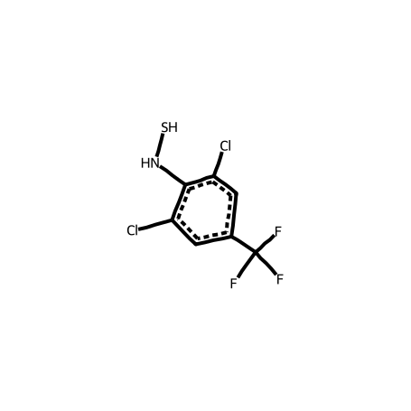 FC(F)(F)c1cc(Cl)c(NS)c(Cl)c1